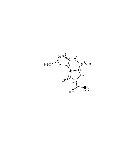 Cc1ccc2c(c1)N1C(=S)N(C(N)=O)CC1C(C)O2